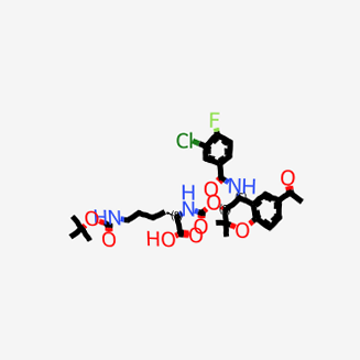 CC(=O)c1ccc2c(c1)[C@H](NC(=O)c1ccc(F)c(Cl)c1)[C@H](OC(=O)N[C@@H](CCCCNC(=O)OC(C)(C)C)C(=O)O)C(C)(C)O2